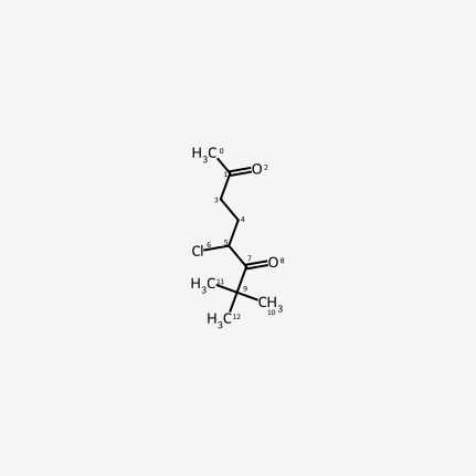 CC(=O)CCC(Cl)C(=O)C(C)(C)C